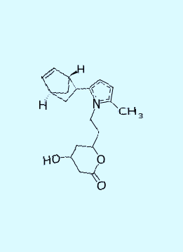 Cc1ccc(C2C[C@H]3C=C[C@H]2C3)n1CCC1CC(O)CC(=O)O1